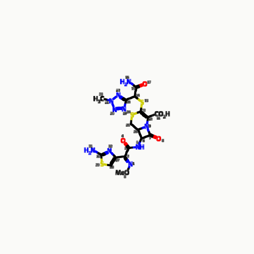 CON=C(C(=O)NC1C(=O)N2C(C(=O)O)=C(SC(C(N)=O)c3nnn(C)n3)SCC12)c1csc(N)n1